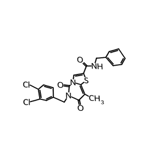 Cc1c(=O)n(Cc2ccc(Cl)c(Cl)c2)c(=O)n2cc(C(=O)NCc3ccccc3)sc12